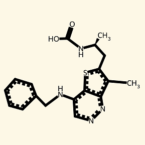 Cc1c(C[C@H](C)NC(=O)O)sc2c(NCc3ccccc3)cnnc12